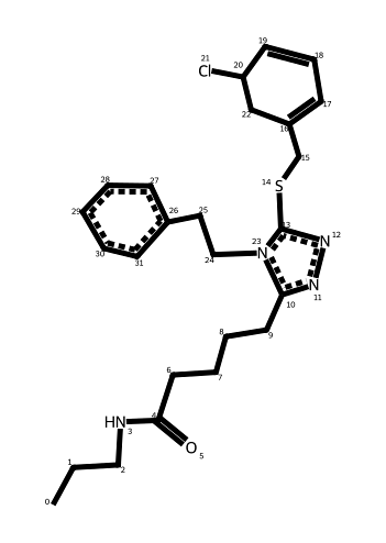 CCCNC(=O)CCCCc1nnc(SCC2=CC=CC(Cl)C2)n1CCc1ccccc1